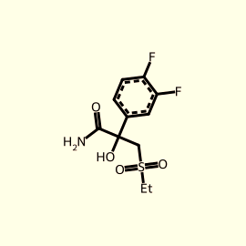 CCS(=O)(=O)CC(O)(C(N)=O)c1ccc(F)c(F)c1